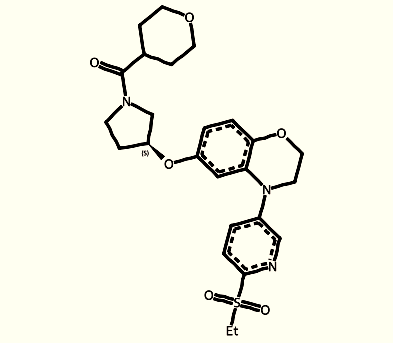 CCS(=O)(=O)c1ccc(N2CCOc3ccc(O[C@H]4CCN(C(=O)C5CCOCC5)C4)cc32)cn1